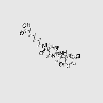 O=C(O)CCCCCCNC(=O)c1cnc(NC2COc3ccc(Cl)cc32)nc1